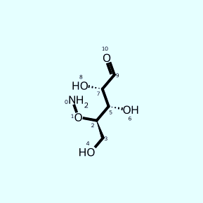 NO[C@H](CO)[C@@H](O)[C@H](O)C=O